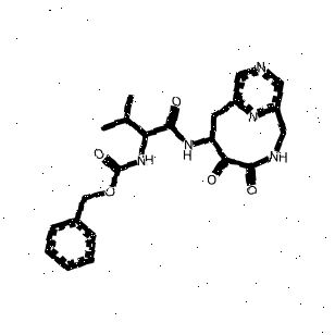 CC(C)C(NC(=O)OCc1ccccc1)C(=O)NC1Cc2cncc(n2)CNC(=O)C1=O